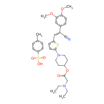 CCN(CC)CC(=O)OC1CCN(c2ccc(C=C(C#N)c3ccc(OC)c(OC)c3)s2)CC1.Cc1ccc(S(=O)(=O)O)cc1